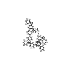 CC1(C)c2cc(-c3ccc4c(c3)c3ccccc3n4-c3cccc(-c4nc(-c5ccccc5)nc(-c5cccc6oc7ccccc7c56)n4)c3)ccc2-c2cc3c(cc21)oc1ccccc13